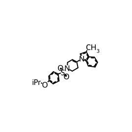 Cc1cn(C2=CCN(S(=O)(=O)c3ccc(OC(C)C)cc3)CC2)c2ccccc12